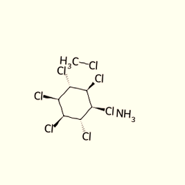 CCl.Cl[C@H]1[C@H](Cl)[C@@H](Cl)[C@@H](Cl)[C@H](Cl)[C@H]1Cl.N